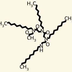 CCCCCCCCCCNCC(=O)N(CCCCCCCCCC)CC(=O)N(CCCCCCCCCC)CC(=O)N(CCCCCCCCCC)CC(C)=O